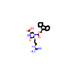 N=C(N)NCCC[C@@H]1C(=O)N[C@H](C(=O)O)CN1C(=O)OCC1c2ccccc2-c2ccccc21